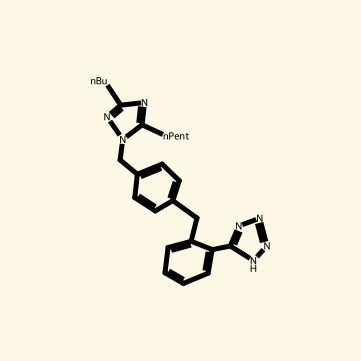 CCCCCc1nc(CCCC)nn1Cc1ccc(Cc2ccccc2-c2nnn[nH]2)cc1